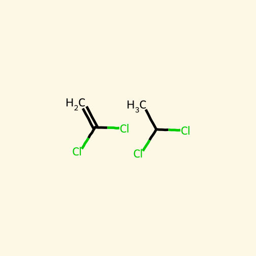 C=C(Cl)Cl.CC(Cl)Cl